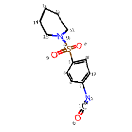 O=C=Nc1ccc(S(=O)(=O)N2CCCCC2)cc1